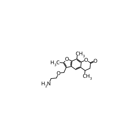 Cc1oc2c(C)c3c(cc2c1COCCN)C(C)CC(=O)O3